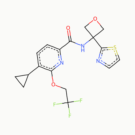 O=C(NC1(c2nccs2)COC1)c1ccc(C2CC2)c(OCC(F)(F)F)n1